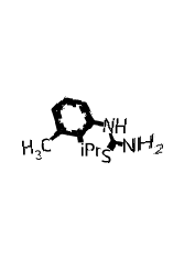 Cc1cccc(NC(N)=S)c1C(C)C